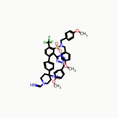 COc1ccc(CN(Cc2ccc(OC)cc2)S(=O)(=O)c2c(C(F)(F)F)ccc(-c3ccc(C4(N)CCN(C=N)CC4)cc3)c2-c2nnn(Cc3ccc(OC)cc3)n2)cc1